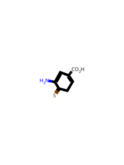 NC1=CC(C(=O)O)=CCC1=S